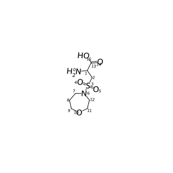 NC(CS(=O)(=O)N1CCCOCC1)C(=O)O